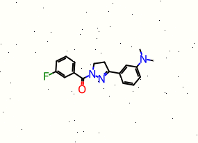 CN(C)c1cccc(C2=NN(C(=O)c3cccc(F)c3)CC2)c1